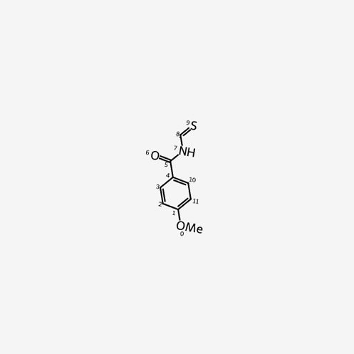 COc1ccc(C(=O)N[C]=S)cc1